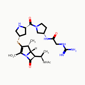 CC(=O)N[C@H](C)[C@H]1C(=O)N2C(C(=O)O)=C(S[C@@H]3CN[C@H](C(=O)N4CC[C@H](NC(=O)CNC(=N)N)C4)C3)[C@H](C)[C@H]12